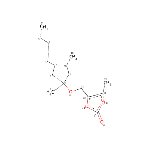 CCCCCCC(C)(CCC)OCc1oc(=O)oc1C